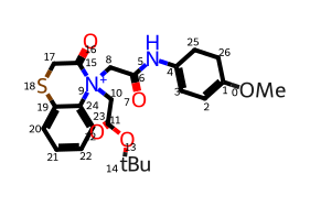 COC1=CC=C(NC(=O)C[N+]2(CC(=O)OC(C)(C)C)C(=O)CSc3ccccc32)CC1